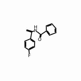 C=C(NC(=O)c1ccccc1)c1ccc(F)cc1